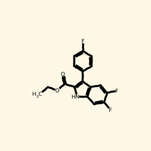 CCOC(=O)c1[nH]c2cc(F)c(F)cc2c1-c1ccc(F)cc1